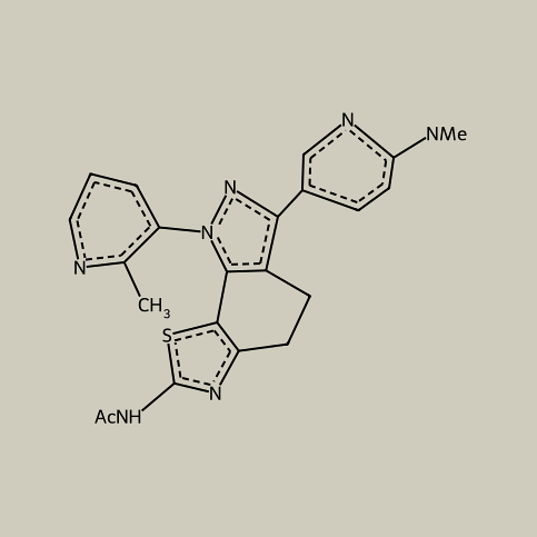 CNc1ccc(-c2nn(-c3cccnc3C)c3c2CCc2nc(NC(C)=O)sc2-3)cn1